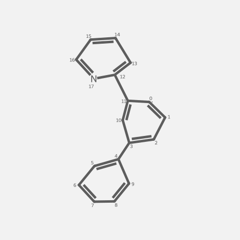 [c]1ccc(-c2ccccc2)cc1-c1ccccn1